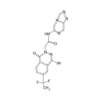 CC(C)c1nn(CC(=O)Nc2cn3cnnc3cn2)c(=O)c2ccc(C(C)(F)F)cc12